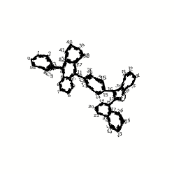 c1ccc(-c2c3ccccc3c(-c3ccc(-c4c(-c5cccc6ccccc56)oc5ccccc45)cc3)c3ccccc23)cc1